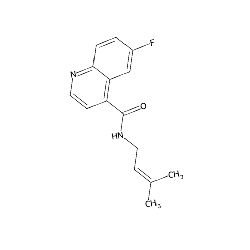 CC(C)=CCNC(=O)c1ccnc2ccc(F)cc12